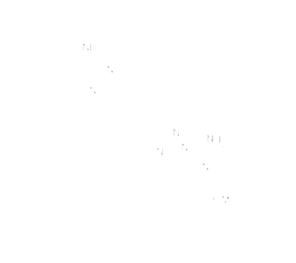 COc1cccc2c1nc(N)n1nc([C@H]3C[C@@H](c4cnc(CN)nc4)C3)nc21